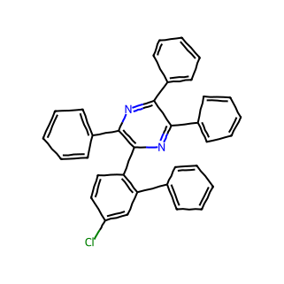 Clc1ccc(-c2nc(-c3ccccc3)c(-c3ccccc3)nc2-c2ccccc2)c(-c2ccccc2)c1